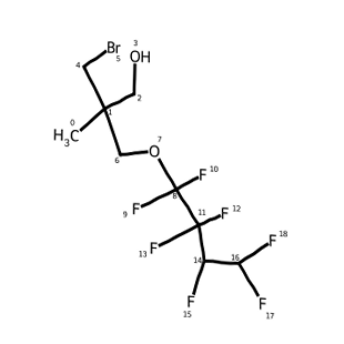 CC(CO)(CBr)COC(F)(F)C(F)(F)C(F)C(F)F